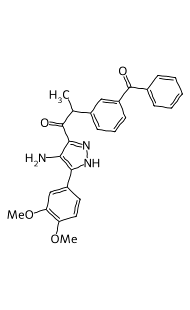 COc1ccc(-c2[nH]nc(C(=O)C(C)c3cccc(C(=O)c4ccccc4)c3)c2N)cc1OC